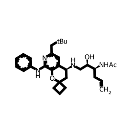 C=CC[C@H](NC(C)=O)[C@H](O)CN[C@H]1CC2(CCC2)Oc2c1cc(CC(C)(C)C)nc2Nc1ccccc1